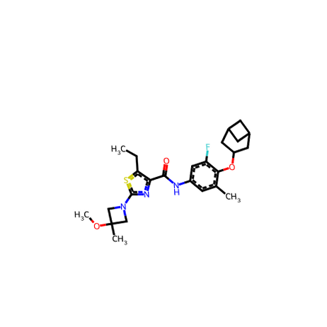 CCc1sc(N2CC(C)(OC)C2)nc1C(=O)Nc1cc(C)c(OC2CC3CC(C3)C2)c(F)c1